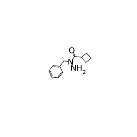 NN(Cc1ccccc1)C(=O)C1CCC1